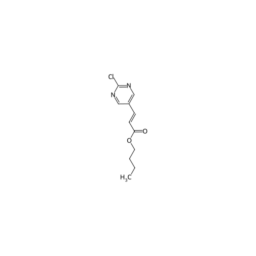 CCCCOC(=O)/C=C/c1cnc(Cl)nc1